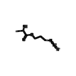 CC(S)C(=O)OCCCN=[N+]=[N-]